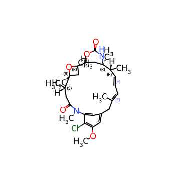 COc1cc2cc(c1Cl)N(C)C(=O)C[C@H](C)[C@@]1(C)C[C@@](C)(O1)[C@@H]1C[C@@](C)(NC(=O)O1)[C@H](C)/C=C/C=C(\C)C2